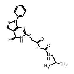 CC(C)CNC(=O)NC(=O)CSc1nc2c(cnn2-c2ccccc2)c(=O)[nH]1